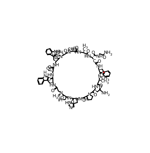 CCCC[C@H]1C(=O)N(C)[C@@H](CCCC)C(=O)N[C@@H](C)C(=O)N[C@H](C(=O)NCC(N)=O)CC(=O)N[C@@H](Cc2ccccc2)C(=O)N(C)[C@@H](C)C(=O)N[C@@H](CC(N)=O)C(=O)N2CCC[C@H]2C(=O)NC(Cc2cnc[nH]2)C(=O)N[C@@H](CC(C)C)C(=O)N(C)CC(=O)N[C@@H](Cc2c[nH]c3ccccc23)C(=O)N[C@@H](CO)C(=O)N[C@@H](Cc2c[nH]c3ccccc23)C(=O)N1C